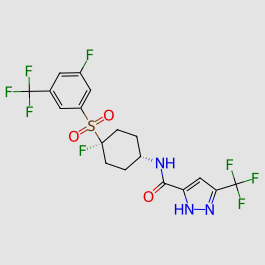 O=C(N[C@H]1CC[C@](F)(S(=O)(=O)c2cc(F)cc(C(F)(F)F)c2)CC1)c1cc(C(F)(F)F)n[nH]1